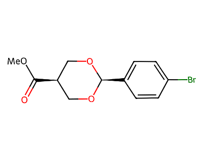 COC(=O)[C@H]1CO[C@@H](c2ccc(Br)cc2)OC1